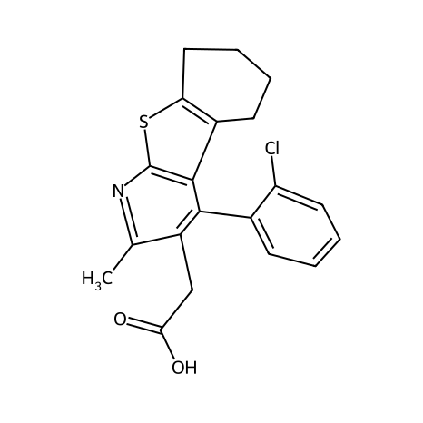 Cc1nc2sc3c(c2c(-c2ccccc2Cl)c1CC(=O)O)CCCC3